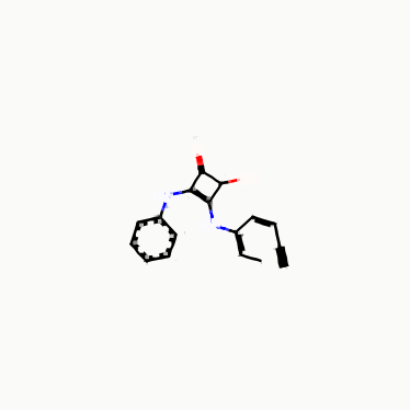 C#C/C=C\C(=C/C)NC1=C(Nc2ccccc2)C(=O)C1O